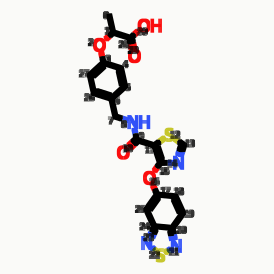 CC(Oc1ccc(CNC(=O)c2scnc2Oc2ccc3nsnc3c2)cc1)C(=O)O